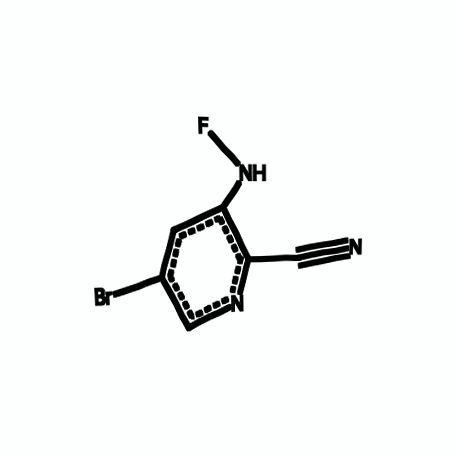 N#Cc1ncc(Br)cc1NF